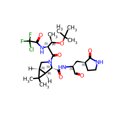 C[C@@H](OC(C)(C)C)[C@H](NC(=O)C(F)(F)Cl)C(=O)N1C[C@H]2[C@@H]([C@H]1C(=O)N[C@H](C=O)C[C@@H]1CCNC1=O)C2(C)C